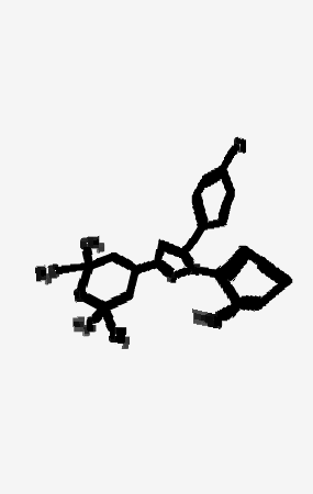 CC1(C)CC(c2cc(-c3ccc(Cl)cc3)n(-c3ccccc3O)n2)CC(C)(C)O1